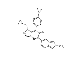 Cn1cc2cc(-n3nc4cnn(CC5CC5)c4c(-c4ccc(C5CC5)nc4)c3=O)ccc2n1